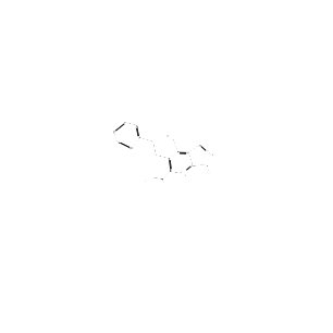 CCOC(OCC)c1nc2c(cnn2CC)c(O)c1CCc1ccccc1.Cl